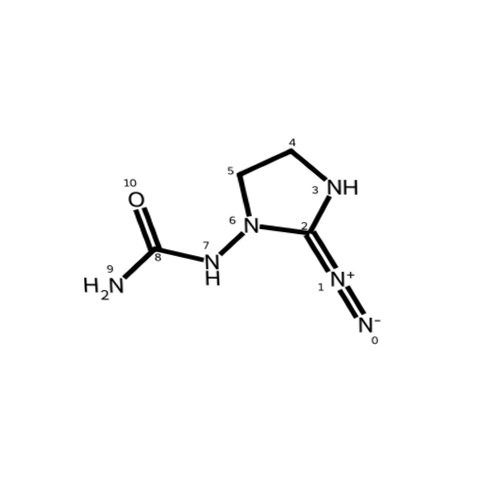 [N-]=[N+]=C1NCCN1NC(N)=O